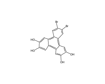 Oc1cc2c3cc(O)c(O)cc3c3cc(Br)c(Br)cc3c2cc1O